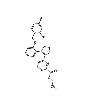 CCOC(=O)c1cccc(C2=C(c3ccccc3OCc3ccc(F)cc3Br)CCC2)n1